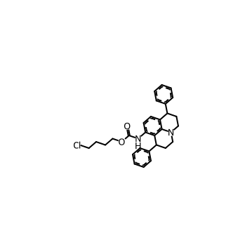 O=C(Nc1ccc2c3c1C(c1ccccc1)CCN3CCC2c1ccccc1)OCCCCCl